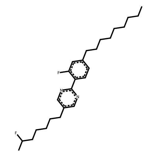 CCCCCCCCCc1ccc(-c2ncc(CCCCCC(C)F)cn2)c(F)c1